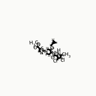 COC(=O)c1cnc(N2CC[C@@H](NC(=O)c3[nH]c(C)c(Cl)c3Cl)[C@@H](OCC3CC3)C2)s1